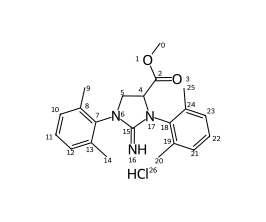 COC(=O)C1CN(c2c(C)cccc2C)C(=N)N1c1c(C)cccc1C.Cl